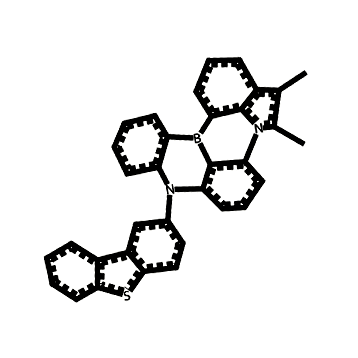 Cc1c(C)n2c3c(cccc13)B1c3ccccc3N(c3ccc4sc5ccccc5c4c3)c3cccc-2c31